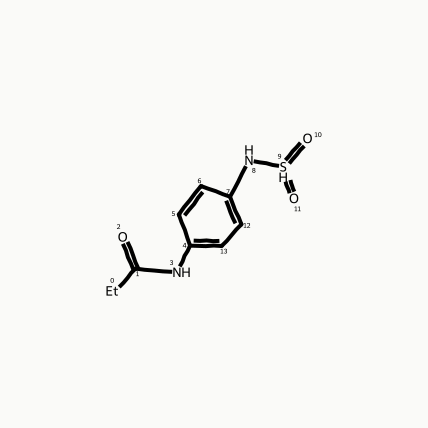 CCC(=O)Nc1ccc(N[SH](=O)=O)cc1